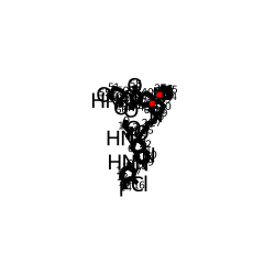 C=CC(=O)Nc1cc2c(Nc3ccc(F)c(Cl)c3)ncnc2cc1OCCCN1CCC(CN2C3CC2CN(c2cc4c(cc2F)C(=O)N(C2CCC(=O)NC2=O)C4=O)C3)CC1